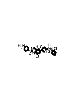 CCc1cc(-c2cnc(NS(=O)(=O)c3ccccc3Cl)cc2C)cc2cnc(N[C@H]3CC[C@H](N)CC3)nc12